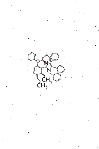 C=C/C=c1/ccc(P(c2ccccc2)c2ccccc2)c(-c2nc(-c3ccccc3)c(-c3ccccc3)n2Cc2ccccc2)/c1=C/C